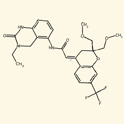 CCN1Cc2c(NC(=O)/C=C3\CC(COC)(COC)Oc4cc(C(F)(F)F)ccc43)cccc2NC1=O